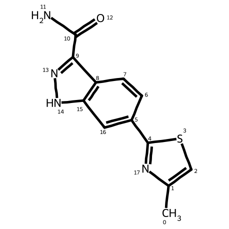 Cc1csc(-c2ccc3c(C(N)=O)n[nH]c3c2)n1